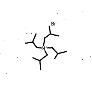 CC(C)C[N+](CC(C)C)(CC(C)C)CC(C)C.[Br-]